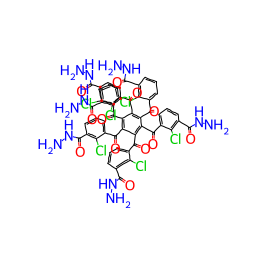 NNC(=O)c1cccc(C(=O)c2c(C(=O)c3cccc(C(=O)NN)c3Cl)c(C(=O)c3cccc(C(=O)NN)c3Cl)c(C(=O)c3cccc(C(=O)NN)c3Cl)c(C(=O)c3cccc(C(=O)NN)c3Cl)c2C(=O)c2cccc(C(=O)NN)c2Cl)c1Cl